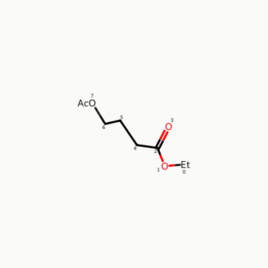 CCOC(=O)CCCOC(C)=O